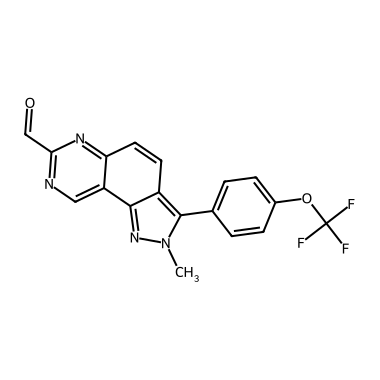 Cn1nc2c(ccc3nc(C=O)ncc32)c1-c1ccc(OC(F)(F)F)cc1